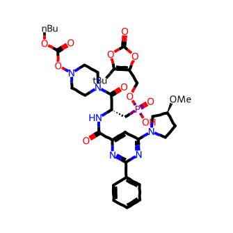 CCCCOC(=O)ON1CCN(C(=O)[C@H](CP(=O)(O)OCc2oc(=O)oc2C(C)(C)C)NC(=O)c2cc(N3CC[C@H](OC)C3)nc(-c3ccccc3)n2)CC1